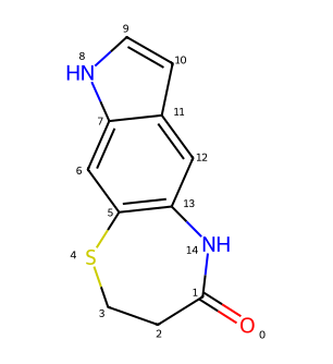 O=C1CCSc2cc3[nH]ccc3cc2N1